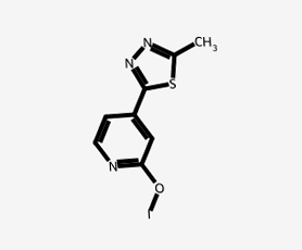 Cc1nnc(-c2ccnc(OI)c2)s1